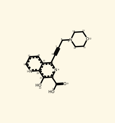 O=C(O)c1nc(C#CCN2CCOCC2)c2cccnc2c1O